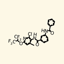 Cc1cc(OC(C(F)(F)F)C(F)(F)F)nc(Cl)c1NC(=O)c1cccc(NC(=O)c2ccccc2)c1